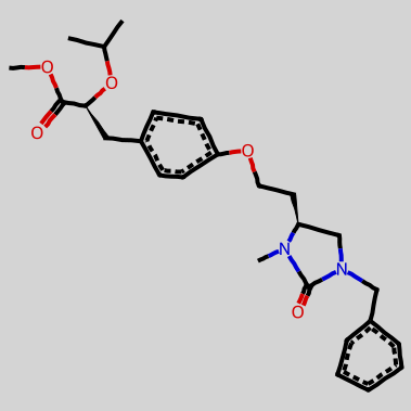 COC(=O)[C@H](Cc1ccc(OCC[C@H]2CN(Cc3ccccc3)C(=O)N2C)cc1)OC(C)C